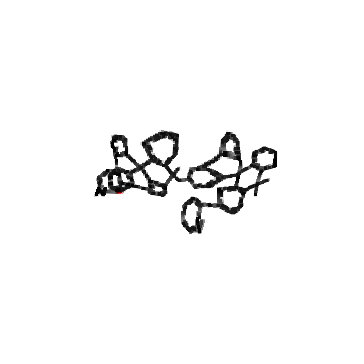 CC1(C)c2ccccc2C2(c3ccccc3-c3cc(CC4(C)c5ccccc5C5(c6ccccc6-c6ccccc65)c5c(-c6cccnc6)cccc54)ccc32)c2cc(-c3ccccn3)ccc21